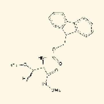 CONC(=O)[C@H](NC(=O)OCC1c2ccccc2-c2ccccc21)[C@@H](C)OC(C)(C)C